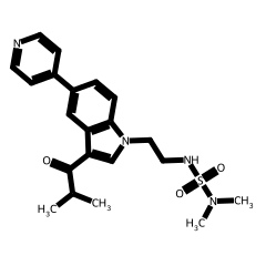 CC(C)C(=O)c1cn(CCNS(=O)(=O)N(C)C)c2ccc(-c3ccncc3)cc12